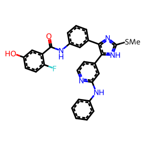 CSc1nc(-c2cccc(NC(=O)c3cc(O)ccc3F)c2)c(-c2ccnc(Nc3ccccc3)c2)[nH]1